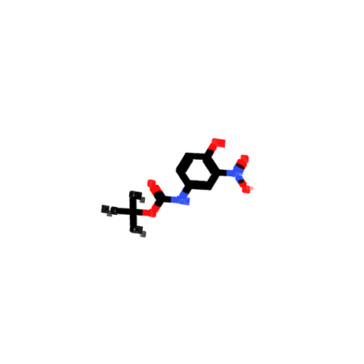 CC(C)(C)OC(=O)Nc1ccc(O)c([N+](=O)[O-])c1